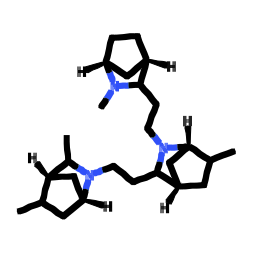 CC1C[C@@H]2C[C@H]1C(C)N2CCC1[C@H]2CC(C)[C@H](C2)N1CCC1[C@H]2CC[C@H](C2)N1C